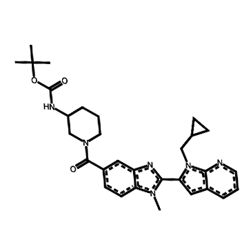 Cn1c(-c2cc3cccnc3n2CC2CC2)nc2cc(C(=O)N3CCCC(NC(=O)OC(C)(C)C)C3)ccc21